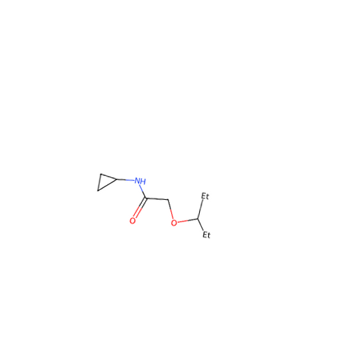 CCC(CC)OCC(=O)NC1CC1